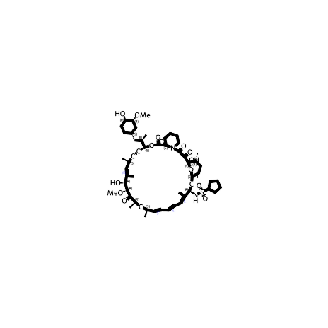 CO[C@@H]1C[C@H](C[C@@H](C)[C@@H]2CC[C@H](C)/C=C(\C)[C@@H](O)[C@@H](OC)C(=O)[C@H](C)C[C@H](C)/C=C/C=C/C=C(\C)[C@H](NS(=O)(=O)C3CCCC3)C[C@@H]3CC[C@@H](C)[C@@](O)(O3)C(=O)C(=O)N3CCCC[C@H]3C(=O)O2)CC[C@H]1O